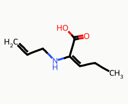 C=CCN/C(=C/CC)C(=O)O